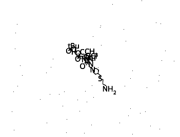 CC(C)(C)C(=O)OCOC(=O)[C@@H]1N2C(=O)[C@@H](N=CN3CCC(CSCCCN)CC3)[C@H]2SC1(C)C.Cl.Cl